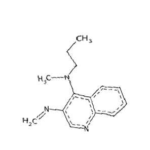 C=Nc1cnc2ccccc2c1N(C)CCC